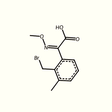 CON=C(C(=O)O)c1cccc(C)c1CBr